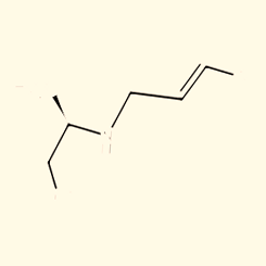 O=C(O)C[C@H](NCC=CO)C(=O)O